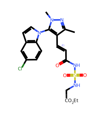 CCOC(=O)CNS(=O)(=O)NC(=O)/C=C/c1c(C)nn(C)c1-n1ccc2cc(Cl)ccc21